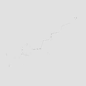 COCCOCOCC(OC(C)=O)c1coc([Si](C)(C)C)c1